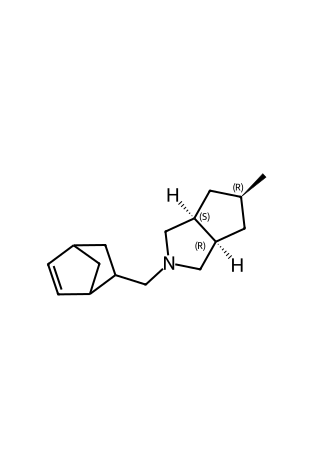 C[C@@H]1C[C@@H]2CN(CC3CC4C=CC3C4)C[C@@H]2C1